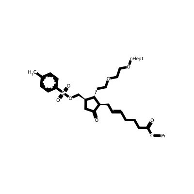 CCCCCCCOCCOCC[C@H]1[C@H](COS(=O)(=O)c2ccc(C)cc2)CC(=O)[C@@H]1CC=CCCCC(=O)OC(C)C